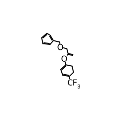 C=C(COCc1ccccc1)OC1=CC=C(C(F)(F)F)CC1